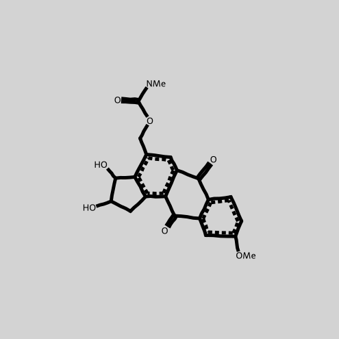 CNC(=O)OCc1cc2c(c3c1C(O)C(O)C3)C(=O)c1cc(OC)ccc1C2=O